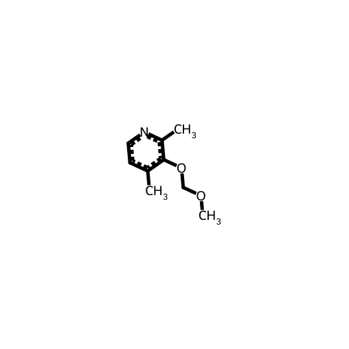 COCOc1c(C)ccnc1C